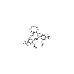 C=CCc1cc(C(C)(C)C)cc(CSC2CCCCCC[C@@H]2SCc2cc(C(C)(C)C)cc(CC=C)c2O)c1O